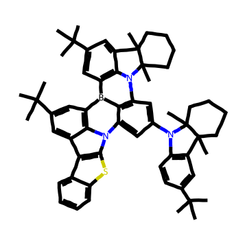 CC(C)(C)c1ccc2c(c1)C1(C)CCCCC1(C)N2c1cc2c3c(c1)-n1c4sc5ccccc5c4c4cc(C(C)(C)C)cc(c41)B3c1cc(C(C)(C)C)cc3c1N2C1(C)CCCCC31C